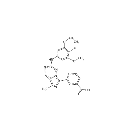 COc1cc(Nc2ncc3c(C)nc(-c4cccc(C(=O)O)c4)n3n2)cc(OC)c1OC